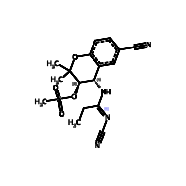 CC/C(=N\C#N)N[C@H]1c2cc(C#N)ccc2OC(C)(C)[C@@H]1OS(C)(=O)=O